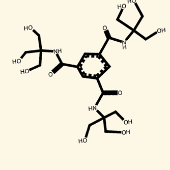 O=C(NC(CO)(CO)CO)c1cc(C(=O)NC(CO)(CO)CO)cc(C(=O)NC(CO)(CO)CO)c1